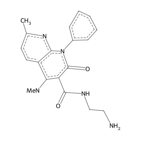 CNc1c(C(=O)NCCN)c(=O)n(-c2ccccc2)c2nc(C)ccc12